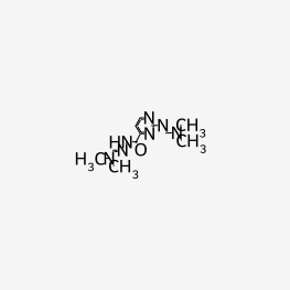 CN(C)C=NNC(=O)c1ccnc(N=CN(C)C)n1